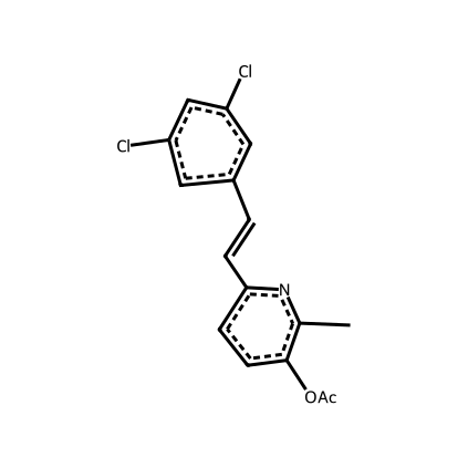 CC(=O)Oc1ccc(/C=C/c2cc(Cl)cc(Cl)c2)nc1C